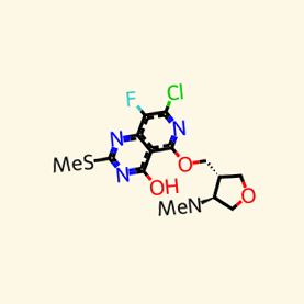 CN[C@@H]1COC[C@H]1COc1nc(Cl)c(F)c2nc(SC)nc(O)c12